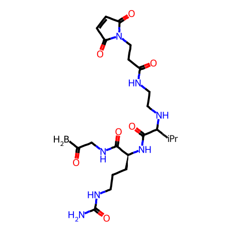 BC(=O)CNC(=O)[C@H](CCCNC(N)=O)NC(=O)C(NCCNC(=O)CCN1C(=O)C=CC1=O)C(C)C